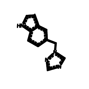 [c]1c[nH]c2ccc(Cn3cncn3)cc12